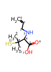 C=CCNC(C(=O)O)C(C)(C)S